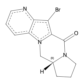 O=C1c2c(Br)c3ncccc3n2C[C@H]2CCCN12